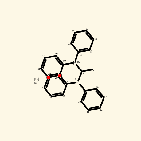 CC(P(c1ccccc1)c1ccccc1)P(c1ccccc1)c1ccccc1.[Pd]